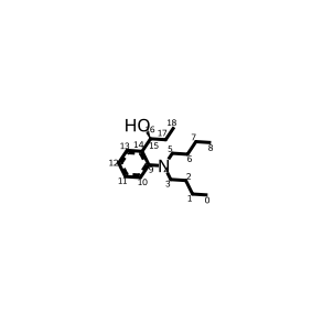 CCCCN(CCCC)c1ccccc1[C@@H](O)CC